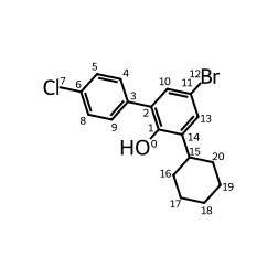 Oc1c(-c2ccc(Cl)cc2)cc(Br)cc1C1CCCCC1